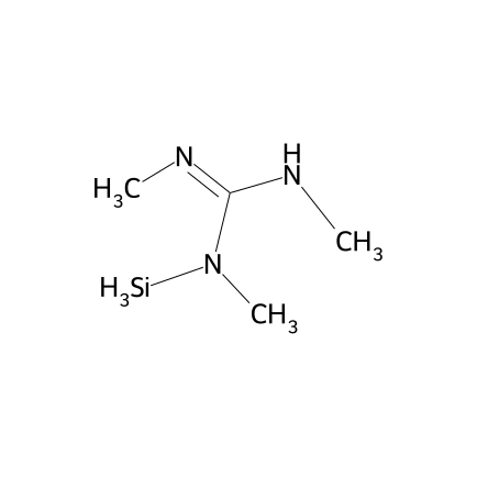 CN=C(NC)N(C)[SiH3]